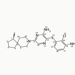 C[C@@H]1CCCC12CCN(c1cnc(Sc3cccc(N)c3Cl)c(N)n1)CC2